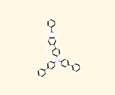 c1ccc(-c2ccc(N(c3ccc(-c4ccccc4)cc3)c3ccc4c(c3)oc3cc5sc(-c6ccccc6)nc5cc34)cc2)cc1